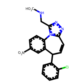 O=C(O)NCc1nnc2n1-c1ccc([N+](=O)[O-])cc1C(c1ccccc1Cl)C=C2